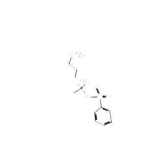 COCCOC(C)(O)OS(=O)(=O)c1ccccc1